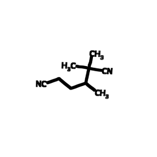 CC(CCC#N)C(C)(C)C#N